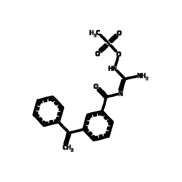 C=C(c1ccccc1)c1cccc(C(=O)N=C(N)NOS(C)(=O)=O)c1